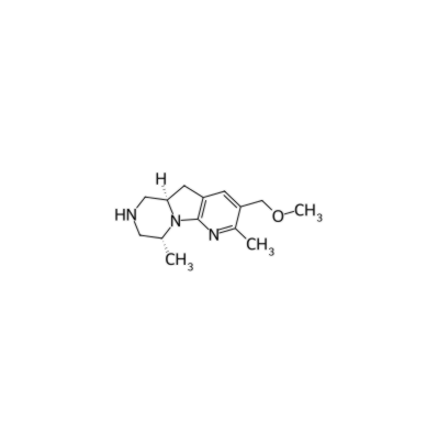 COCc1cc2c(nc1C)N1[C@@H](CNC[C@H]1C)C2